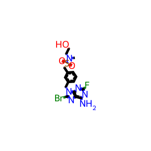 CN(CCO)S(=O)(=O)Cc1cccc(Cn2c(Br)nc3c(N)nc(F)nc32)c1